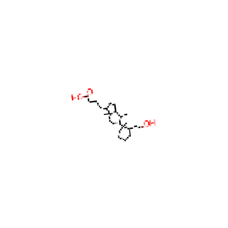 CC1C(C2(C)CCCCC2CCO)CCC2(C)C(CCCC(=O)O)CCC12